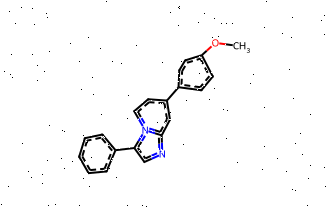 COc1ccc(-c2ccn3c(-c4ccccc4)cnc3c2)cc1